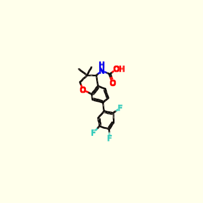 CC1(C)COc2cc(-c3cc(F)c(F)cc3F)ccc2C1NC(=O)O